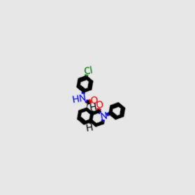 O=C(Nc1ccc(Cl)cc1)[C@H]1CC=C[C@H]2CCN(c3ccccc3)C(=O)[C@@H]12